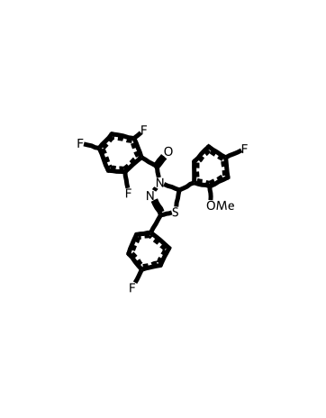 COc1cc(F)ccc1C1SC(c2ccc(F)cc2)=NN1C(=O)c1c(F)cc(F)cc1F